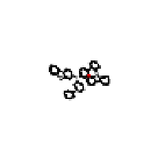 c1ccc(-c2cccc(N(c3ccc(-c4ccccc4-n4c5ccccc5c5ccccc54)cc3)c3ccc4c(c3)sc3ccccc34)c2)cc1